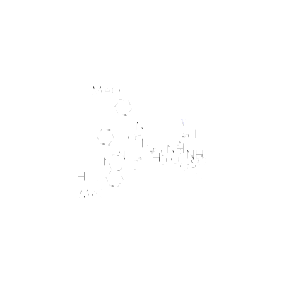 COc1ccc(CN2CCCCC/C=C\[C@@H]3C[C@@]3(C(=O)NS(=O)(=O)C3CC3)NC(=O)[C@@H]3C[C@@H](Oc4nc(-c5ccccc5)nc5c(C)c(OC)ccc45)CN3C2=O)cc1